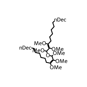 CCCCCCCCCCCCCCCCC(OC)=C(OC)C(OC)OC(OC)C(OC)=C(CCCCCCCCCCCCCCCC)OC